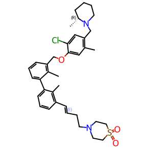 Cc1cc(OCc2cccc(-c3cccc(/C=C/CCN4CCS(=O)(=O)CC4)c3C)c2C)c(Cl)cc1CN1CCCC[C@H]1C